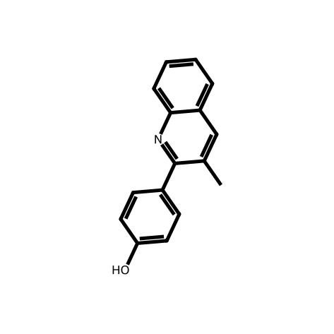 Cc1cc2ccccc2nc1-c1ccc(O)cc1